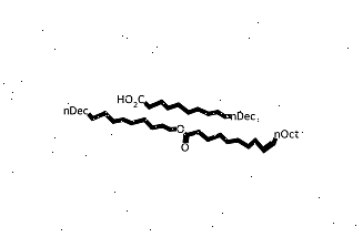 CCCCCCCC/C=C\CCCCCCCC(=O)OCCCCCCCCCCCCCCCCCCC.CCCCCCCCCCCCCCCCCCCC(=O)O